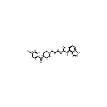 O=C(Nc1cccc2sncc12)OCCCN1CCC(C(=O)c2ccc(I)cc2)CC1